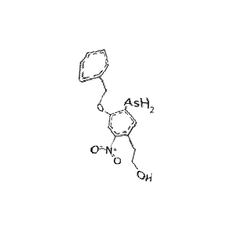 O=[N+]([O-])c1cc(OCc2ccccc2)c([AsH2])cc1CCO